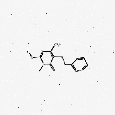 CCOc1nc(C(=O)O)c(OCc2ccccc2)c(=O)n1C